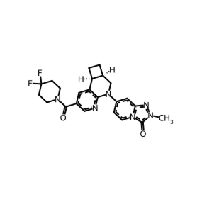 Cn1nc2cc(N3C[C@@H]4CC[C@@H]4c4cc(C(=O)N5CCC(F)(F)CC5)cnc43)ccn2c1=O